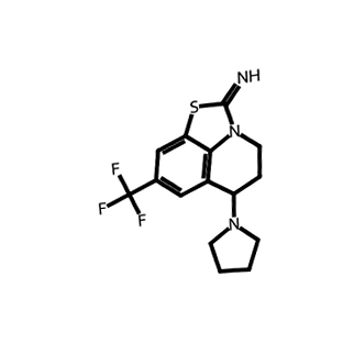 N=c1sc2cc(C(F)(F)F)cc3c2n1CCC3N1CCCC1